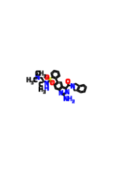 CC(CN(C)C)NS(=O)(=O)c1ccccc1-c1ccc2nc(N)nc(C(=O)N3Cc4ccccc4C3)c2c1